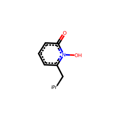 CC(C)Cc1cccc(=O)n1O